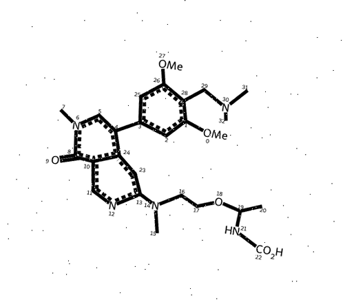 COc1cc(-c2cn(C)c(=O)c3cnc(N(C)CCOC(C)NC(=O)O)cc23)cc(OC)c1CN(C)C